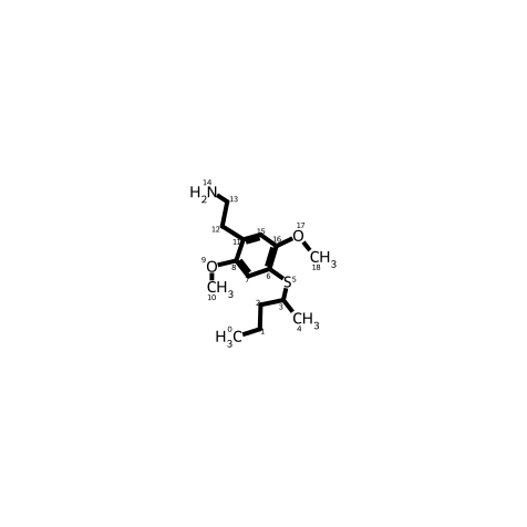 CCCC(C)Sc1cc(OC)c(CCN)cc1OC